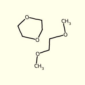 C1COCCO1.COCCOC